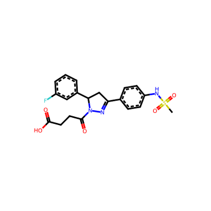 CS(=O)(=O)Nc1ccc(C2=NN(C(=O)CCC(=O)O)C(c3cccc(F)c3)C2)cc1